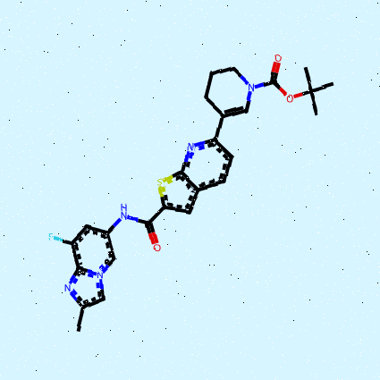 Cc1cn2cc(NC(=O)c3cc4ccc(C5=CN(C(=O)OC(C)(C)C)CCC5)nc4s3)cc(F)c2n1